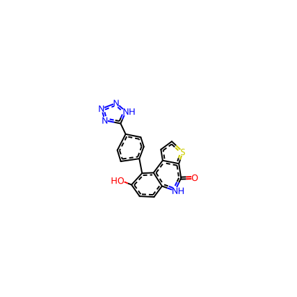 O=c1[nH]c2ccc(O)c(-c3ccc(-c4nnn[nH]4)cc3)c2c2ccsc12